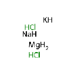 Cl.Cl.[KH].[MgH2].[NaH]